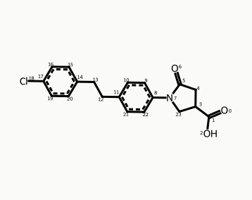 O=C(O)C1CC(=O)N(c2ccc(CCc3ccc(Cl)cc3)cc2)C1